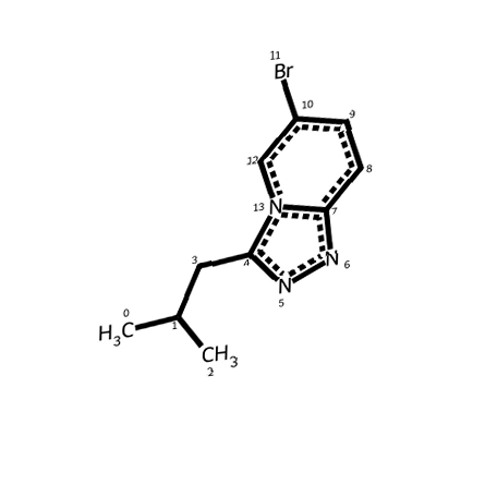 CC(C)Cc1nnc2ccc(Br)cn12